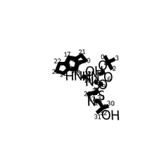 CC(C)(C)OC(=O)NS(=O)(=NC(O)Nc1c2c(cc3c1CC3)CCC2)c1cnc(C(C)(C)O)s1